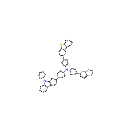 c1ccc(-n2c3ccccc3c3ccc(-c4ccc(N(c5ccc(-c6ccc7ccccc7c6)cc5)c5ccc(-c6ccc7sc8ccccc8c7c6)cc5)cc4)cc32)cc1